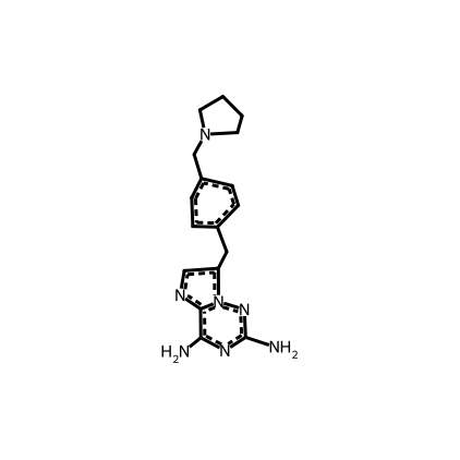 Nc1nc(N)c2ncc(Cc3ccc(CN4CCCC4)cc3)n2n1